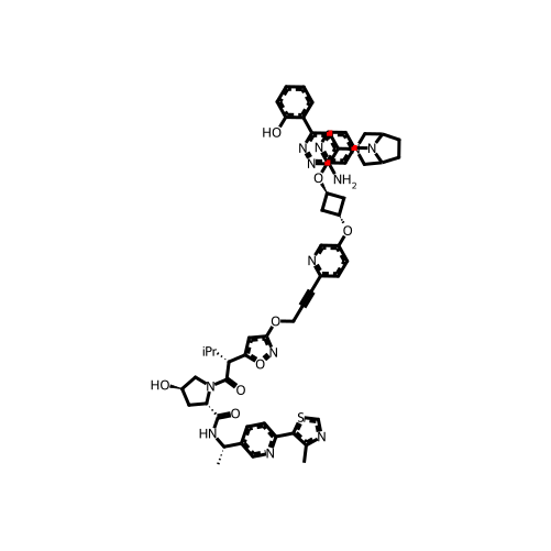 Cc1ncsc1-c1ccc([C@H](C)NC(=O)[C@@H]2C[C@@H](O)CN2C(=O)[C@@H](c2cc(OCC#Cc3ccc(O[C@H]4C[C@H](Oc5cc(N6C7CCC6CN(c6cc(-c8ccccc8O)nnc6N)C7)ccn5)C4)cn3)no2)C(C)C)cn1